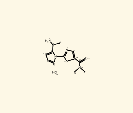 C[C@H](N)c1ncnn1-c1ncc(C(=O)N(C)C)s1.Cl